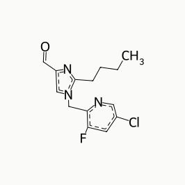 CCCCc1nc(C=O)cn1Cc1ncc(Cl)cc1F